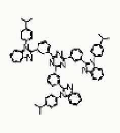 CC(C)c1ccc(-n2c(-c3cccc(-c4nc(C5=CC=CC(c6nc7ccccc7n6-c6ccc(C(C)C)cc6)C5)nc(-c5cccc(-c6nc7ccccc7n6-c6ccc(C(C)C)cc6)c5)n4)c3)nc3ccccc32)cc1